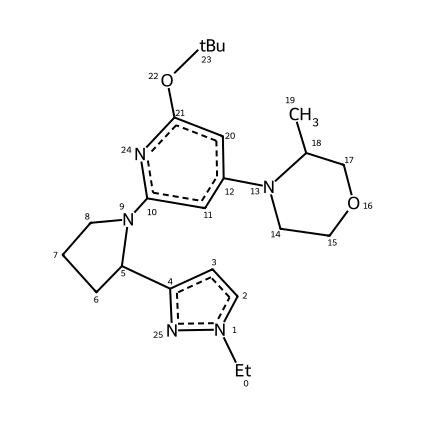 CCn1ccc(C2CCCN2c2cc(N3CCOCC3C)cc(OC(C)(C)C)n2)n1